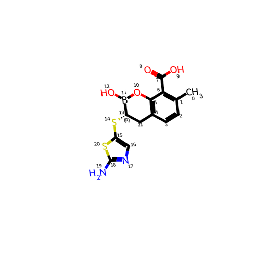 Cc1ccc2c(c1C(=O)O)OB(O)[C@@H](Sc1cnc(N)s1)C2